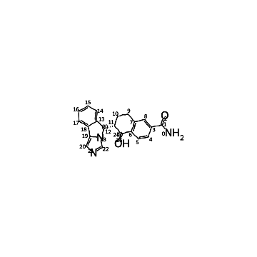 NC(=O)c1ccc2c(c1)CCC([C@H]1c3ccccc3-c3cncn31)[C@@H]2O